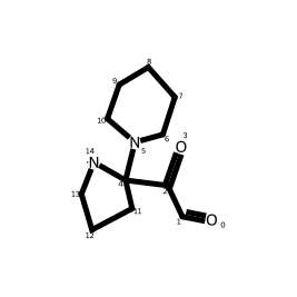 O=CC(=O)C1(N2CCCCC2)CCC[N]1